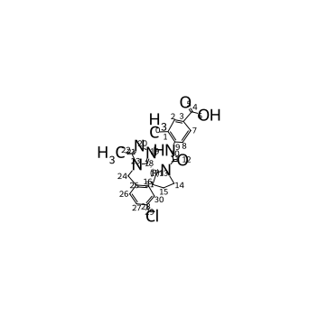 Cc1cc(C(=O)O)ccc1NC(=O)N1CCC[C@@H]1c1nnc(C)n1Cc1ccc(Cl)cc1